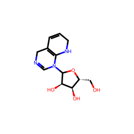 OC[C@H]1OC(N2C=NCC3=C2NCC=C3)[C@H](O)[C@@H]1O